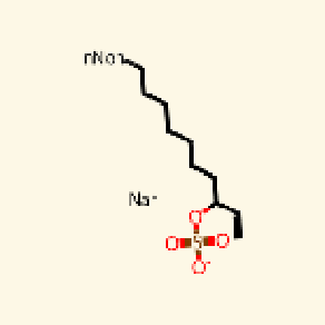 C=CC(CCCCCCCCCCCCCCCC)OS(=O)(=O)[O-].[Na+]